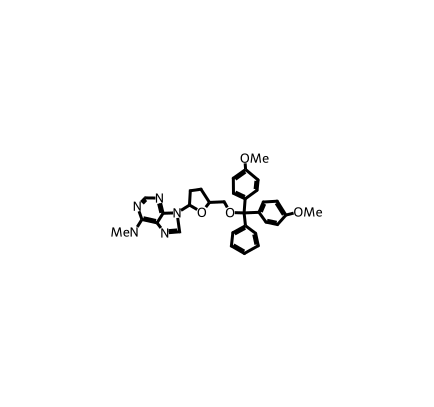 CNc1ncnc2c1ncn2C1CCC(COC(c2ccccc2)(c2ccc(OC)cc2)c2ccc(OC)cc2)O1